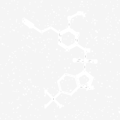 COc1nc(NS(=O)(=O)c2c[nH]c3c2CCC(C(F)(F)F)C3)ncc1CCC#N